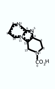 O=C(O)N1CCc2nc3ncccn3c2C1